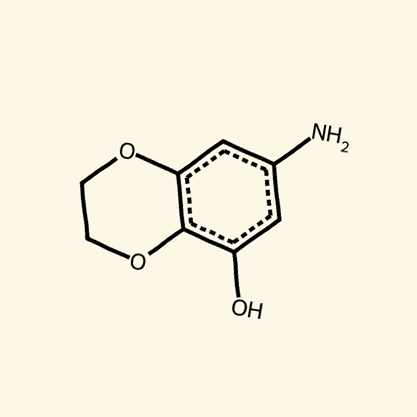 Nc1cc(O)c2c(c1)OCCO2